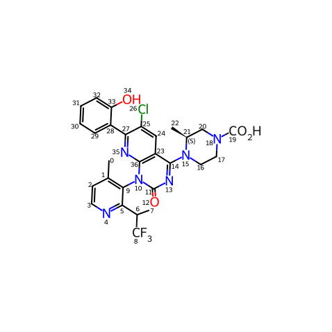 Cc1ccnc(C(C)C(F)(F)F)c1-n1c(=O)nc(N2CCN(C(=O)O)C[C@@H]2C)c2cc(Cl)c(-c3ccccc3O)nc21